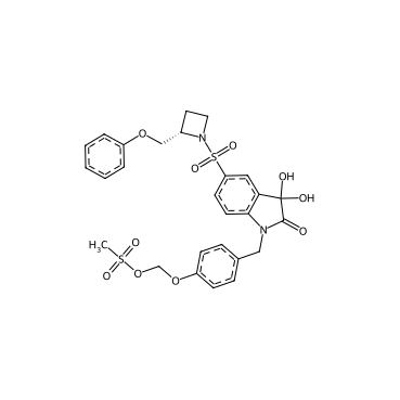 CS(=O)(=O)OCOc1ccc(CN2C(=O)C(O)(O)c3cc(S(=O)(=O)N4CC[C@H]4COc4ccccc4)ccc32)cc1